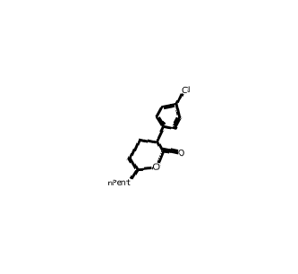 CCCCCC1CCC(c2ccc(Cl)cc2)C(=O)O1